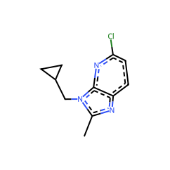 Cc1nc2ccc(Cl)nc2n1CC1CC1